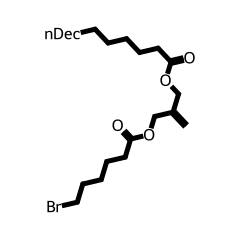 C=C(COC(=O)CCCCCBr)COC(=O)CCCCCCCCCCCCCCC